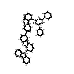 c1ccc(C2=NC(c3cccc4oc5cc(-c6ccc7oc8c(-n9c%10ccccc%10c%10ccccc%109)cccc8c7c6)ccc5c34)NC(c3ccccc3)=N2)cc1